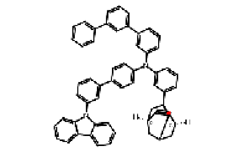 C1#C[C@H]2CC3C[C@H]1CC(c1cccc(N(c4ccc(-c5cccc(-n6c7ccccc7c7ccccc76)c5)cc4)c4cccc(-c5cccc(-c6ccccc6)c5)c4)c1)(C3)C2